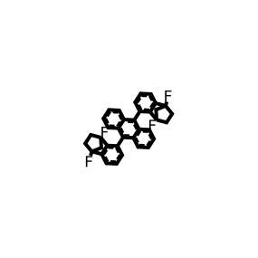 FC12CCC(F)(C1)c1c(-c3c4ccccc4c(-c4cccc5c4C4(F)CCC5(F)C4)c4ccccc34)cccc12